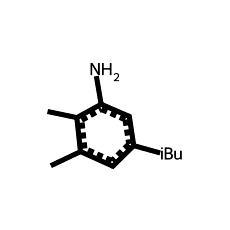 CCC(C)c1cc(C)c(C)c(N)c1